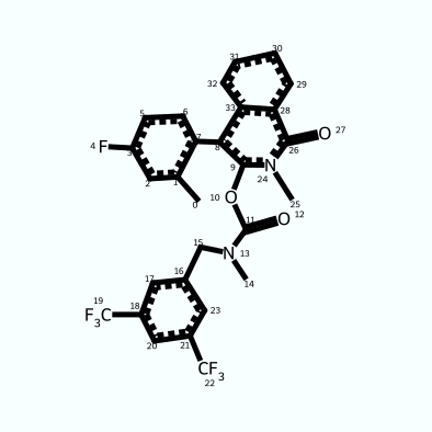 Cc1cc(F)ccc1-c1c(OC(=O)N(C)Cc2cc(C(F)(F)F)cc(C(F)(F)F)c2)n(C)c(=O)c2ccccc12